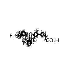 COc1cc(F)c(-c2cnn(CCC(=O)O)c2)cc1C(=O)N[C@@H]1[C@H]2CC[C@H](C2)[C@@H]1C(=O)Nc1cccc(S(=O)(=O)C(F)(F)F)c1